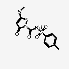 CSc1cc(=O)n(C(=O)NS(=O)(=O)c2ccc(C)cc2)s1